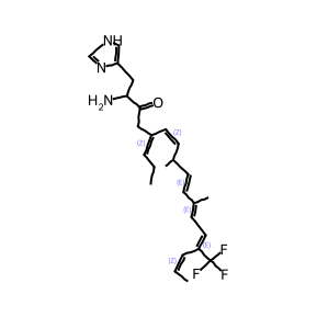 C\C=C/C(=C\C=C(C)\C=C\C(C)/C=C\C(=C/CC)CC(=O)C(N)Cc1c[nH]cn1)C(F)(F)F